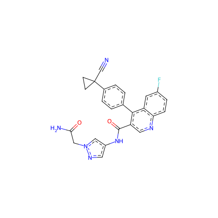 N#CC1(c2ccc(-c3c(C(=O)Nc4cnn(CC(N)=O)c4)cnc4ccc(F)cc34)cc2)CC1